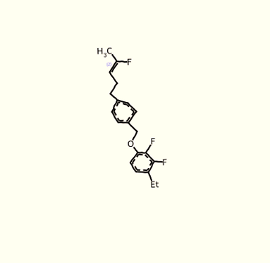 CCc1ccc(OCc2ccc(CC/C=C(/C)F)cc2)c(F)c1F